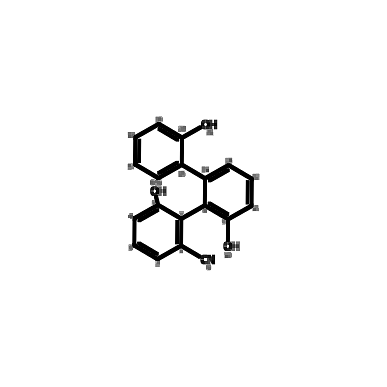 N#Cc1cccc(O)c1-c1c(O)cccc1-c1ccccc1O